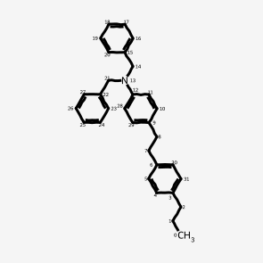 CCCc1ccc(CCc2ccc(N(Cc3ccccc3)Cc3ccccc3)cc2)cc1